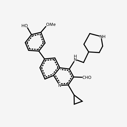 COc1cc(-c2ccc3nc(C4CC4)c(C=O)c(NCC4CCNCC4)c3c2)ccc1O